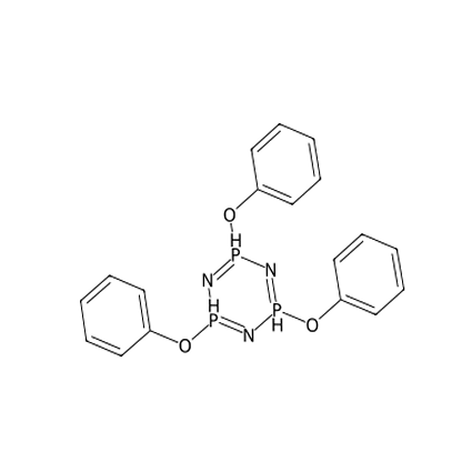 c1ccc(O[PH]2=N[PH](Oc3ccccc3)=N[PH](Oc3ccccc3)=N2)cc1